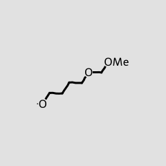 COCOCCCC[O]